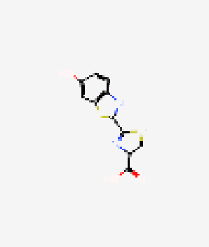 O=C(O)C1CSC(C2Nc3ccc(O)cc3S2)=N1